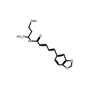 CSCCC(NC(=O)/C=C/C=C/c1ccc2c(c1)OCO2)C(=O)O